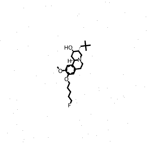 COc1cc2c(cc1OCCCCCF)CCN1C[C@@H](CC(C)(C)C)[C@H](O)C[C@H]21